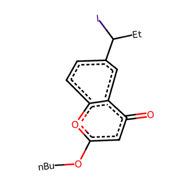 CCCCOc1cc(=O)c2cc(C(I)CC)ccc2o1